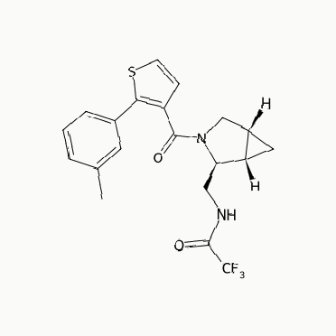 Cc1cccc(-c2sccc2C(=O)N2C[C@@H]3C[C@@H]3[C@H]2CNC(=O)C(F)(F)F)c1